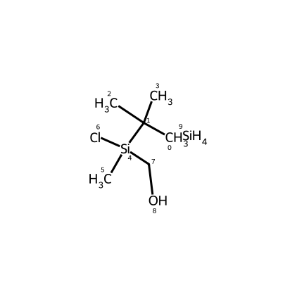 CC(C)(C)[Si](C)(Cl)CO.[SiH4]